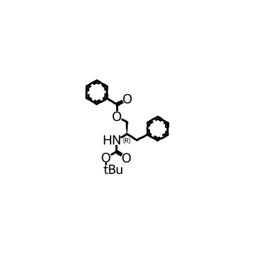 CC(C)(C)OC(=O)N[C@@H](COC(=O)c1ccccc1)Cc1ccccc1